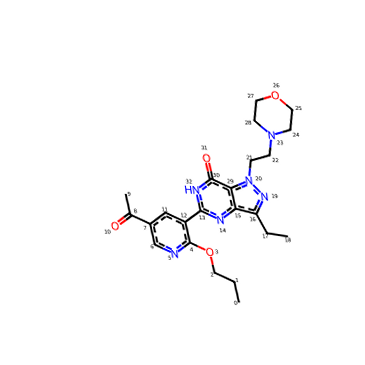 CCCOc1ncc(C(C)=O)cc1-c1nc2c(CC)nn(CCN3CCOCC3)c2c(=O)[nH]1